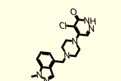 Cn1ncc2c(CN3CCN(c4cn[nH]c(=O)c4Cl)CC3)cccc21